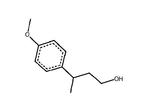 COc1ccc(C(C)CCO)cc1